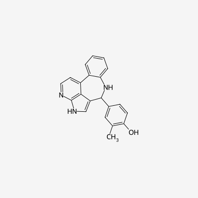 Cc1cc(C2Nc3ccccc3-c3ccnc4[nH]cc2c34)ccc1O